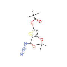 CC(C)(C)Oc1cc(OC(=O)C(C)(C)C)sc1C(=O)N=[N+]=[N-]